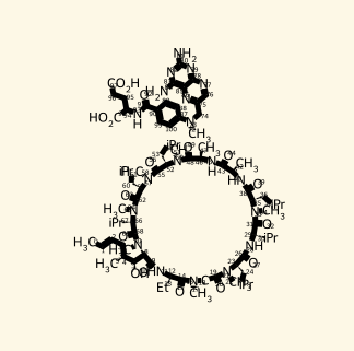 C/C=C/C[C@@H](C)[C@@H](O)[C@H]1C(=O)N[C@@H](CC)C(=O)N(C)CC(=O)N(C)[C@@H](CC(C)C)C(=O)N[C@@H](C(C)C)C(=O)N(C)[C@@H](CC(C)C)C(=O)N[C@@H](C)C(=O)N[C@H](C)C(=O)N(C)[C@@H](CC(C)C)C(=O)N(C)[C@@H](CC(C)C)C(=O)N(C)[C@@H](C(C)C)C(=O)N1C.CN(Cc1cnc2nc(N)nc(N)c2n1)c1ccc(C(=O)NC(CCC(=O)O)C(=O)O)cc1